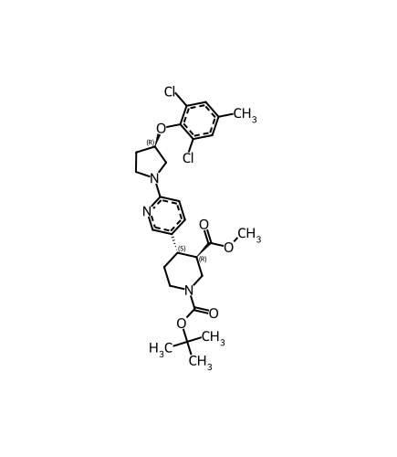 COC(=O)[C@H]1CN(C(=O)OC(C)(C)C)CC[C@@H]1c1ccc(N2CC[C@@H](Oc3c(Cl)cc(C)cc3Cl)C2)nc1